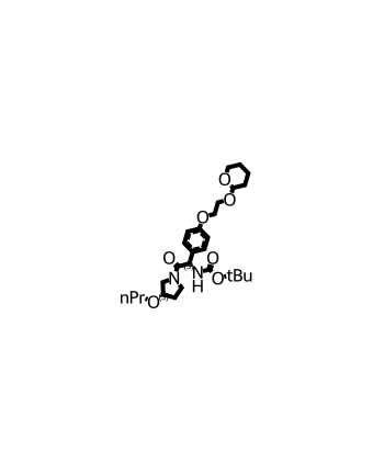 CCCO[C@H]1CCN(C(=O)[C@@H](NC(=O)OC(C)(C)C)c2ccc(OCCOC3CCCCO3)cc2)C1